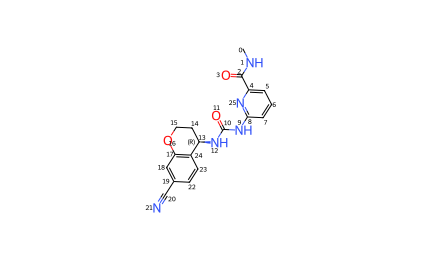 CNC(=O)c1cccc(NC(=O)N[C@@H]2CCOc3cc(C#N)ccc32)n1